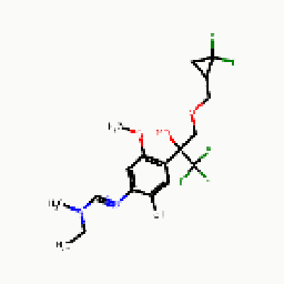 CCN(C)/C=N/c1cc(OC)c(C(O)(COCC2CC2(F)F)C(F)(F)F)cc1C